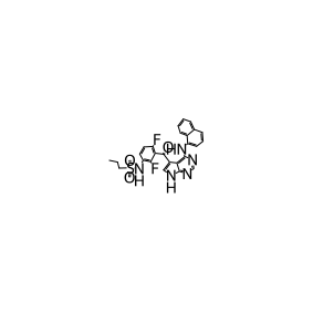 CCCS(=O)(=O)Nc1ccc(F)c(C(=O)c2c[nH]c3ncnc(Nc4cccc5ccccc45)c23)c1F